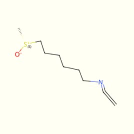 C=C=NCCCCCC[S@@+](C)[O-]